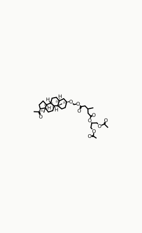 CC(=O)OCC(COC(C)=O)OC(=O)CC(C)CC(=O)OCO[C@H]1CC[C@@]2(C)[C@@H](CC[C@@H]3[C@@H]2CC[C@]2(C)[C@@H](C(C)=O)CC[C@@H]32)C1